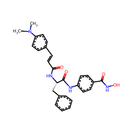 CN(C)c1ccc(/C=C/C(=O)N[C@@H](Cc2ccccc2)C(=O)Nc2ccc(C(=O)NO)cc2)cc1